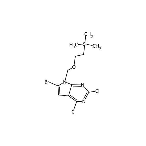 C[Si](C)(C)CCOCn1c(Br)cc2c(Cl)nc(Cl)nc21